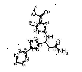 COC(=O)c1sc(N[C@@H](CC(N)=O)c2nc(-c3cnccn3)no2)nc1C